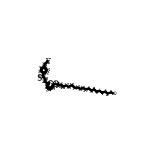 CCCCCCCCCCCCCCCCCCCCCOc1cccc(C=CC(=S)c2ccc(CCC)cc2)c1